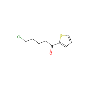 O=C(CCCCCl)c1cccs1